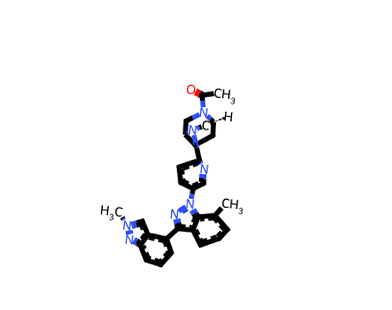 CC(=O)N1CC2CC[C@H]1CN2c1ccc(-n2nc(-c3cccc4nn(C)cc34)c3cccc(C)c32)cn1